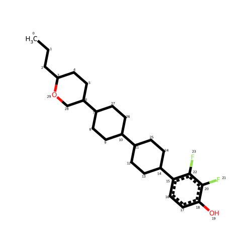 CCCC1CCC(C2CCC(C3CCC(c4ccc(O)c(F)c4F)CC3)CC2)CO1